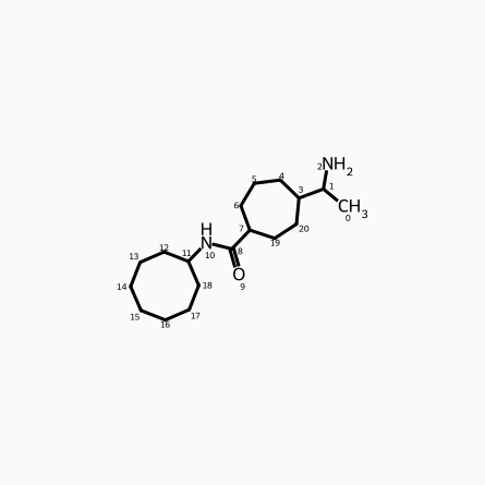 CC(N)C1CCCC(C(=O)NC2CCCCCCC2)CC1